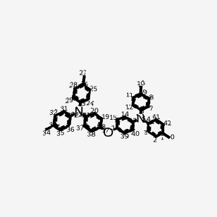 Cc1ccc(N(c2ccc(C)cc2)c2ccc(Oc3ccc(N(c4ccc(C)cc4)c4ccc(C)cc4)cc3)cc2)cc1